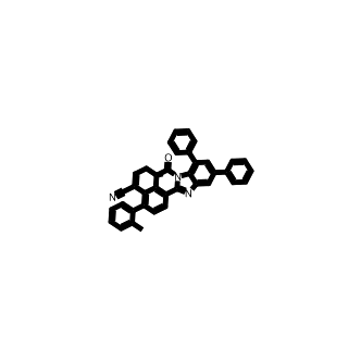 Cc1ccccc1-c1ccc2c3c1C(C#N)=CCC3(C)C(=O)n1c-2nc2cc(-c3ccccc3)cc(-c3ccccc3)c21